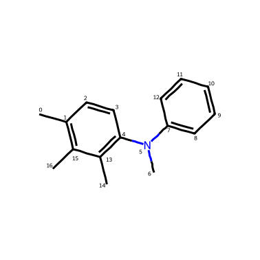 Cc1ccc(N(C)c2ccccc2)c(C)c1C